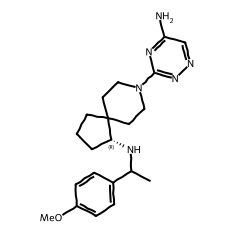 COc1ccc(C(C)N[C@@H]2CCCC23CCN(c2nncc(N)n2)CC3)cc1